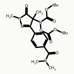 CN(C)C(=O)c1ccc(C2=NN(C)C(=O)C2(C)N(OC(=O)OC(C)(C)C)C(=O)OC(C)(C)C)cc1